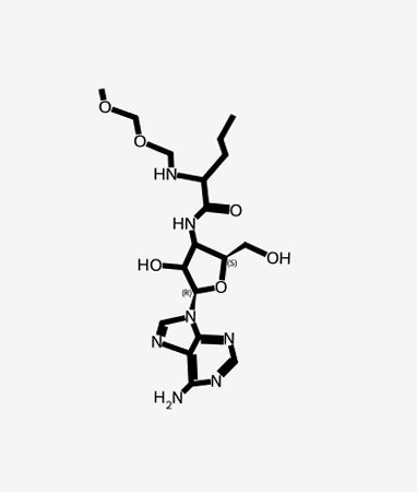 CCCC(NCOCOC)C(=O)NC1C(O)[C@H](n2cnc3c(N)ncnc32)O[C@@H]1CO